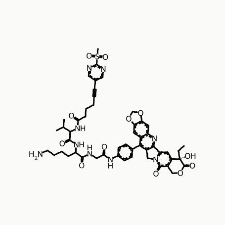 CC[C@@]1(O)C(=O)OCc2c1cc1n(c2=O)Cc2c-1nc1cc3c(cc1c2-c1ccc(NC(=O)CNC(=O)C(CCCCN)NC(=O)C(NC(=O)CCCC#Cc2cnc(S(C)(=O)=O)nc2)C(C)C)cc1)OCO3